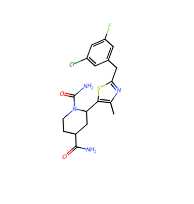 Cc1nc(Cc2cc(F)cc(Cl)c2)sc1C1CC(C(N)=O)CCN1C(N)=O